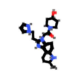 C[C@H]1CCc2c(ccc3c2nc(CCn2cccn2)n3CC(=O)N2CCC(O)CC2)N1